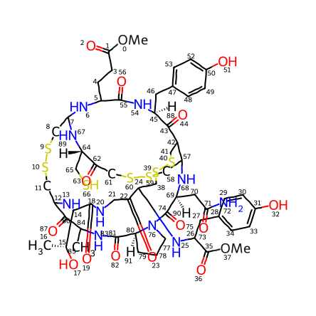 COC(=O)CCC1NC2CSSCC3N[C@@H]([C@@H](C)O)C(=O)NCC(=O)C(NC(Cc4ccc(O)cc4)C(=O)OC)CSSCC(C(=O)[C@H](Cc4ccc(O)cc4)NC1=O)C(CSSCC(=O)[C@H](CS)N2)N[C@@H](CC(N)=O)C(=O)N1CCC[C@H]1C(=O)NC(C)C3=O